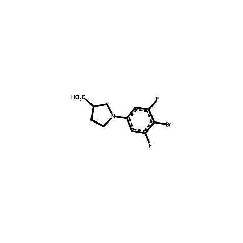 O=C(O)C1CCN(c2cc(F)c(Br)c(F)c2)C1